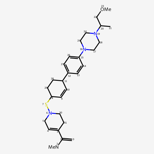 C=C(NC)C1=CCN(SC2C=CC(c3ccc(N4CCN(C(C)COC)CC4)cc3)CC2)CC1